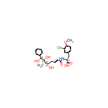 COc1ccc(C[C@H](NC(=O)/C=C/C[C@H](O)[C@H](C)[C@@H](O)[C@@H](O)c2ccccc2)C(=O)O)cc1Cl